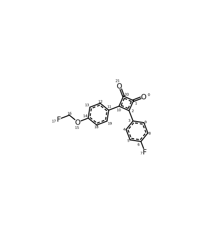 O=c1c(-c2ccc(F)cc2)c(-c2ccc(OCF)cc2)c1=O